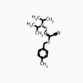 Cc1ccc(CSC(C#N)=NSN(C(C)C)C(C)C)cc1